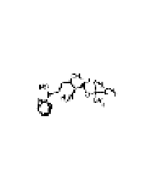 CC(CCC(O)c1ccccn1)C(N)C(=O)OC(C)(C)C